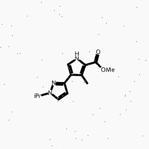 COC(=O)c1[nH]cc(-c2ccn(C(C)C)n2)c1C